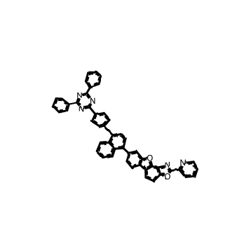 c1ccc(-c2nc(-c3ccccc3)nc(-c3ccc(-c4ccc(-c5ccc6c(c5)oc5c6ccc6oc(-c7ccccn7)nc65)c5ccccc45)cc3)n2)cc1